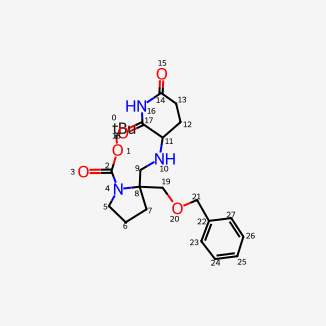 CC(C)(C)OC(=O)N1CCCC1(CNC1CCC(=O)NC1=O)COCc1ccccc1